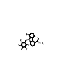 NC(=O)c1cccc2c1c1[c]ccc(F)c1n2Cc1c(F)c(F)c(F)c(F)c1F